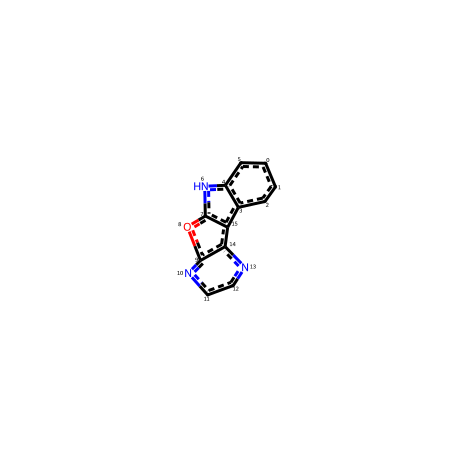 c1ccc2c(c1)[nH]c1oc3nccnc3c12